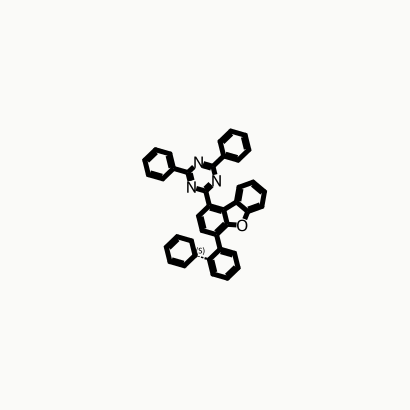 C1=CC[C@H](c2ccccc2-c2ccc(-c3nc(-c4ccccc4)nc(-c4ccccc4)n3)c3c2oc2ccccc23)C=C1